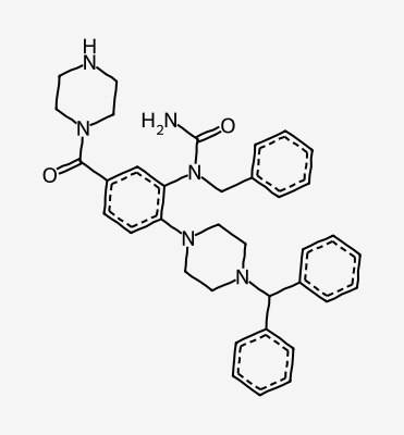 NC(=O)N(Cc1ccccc1)c1cc(C(=O)N2CCNCC2)ccc1N1CCN(C(c2ccccc2)c2ccccc2)CC1